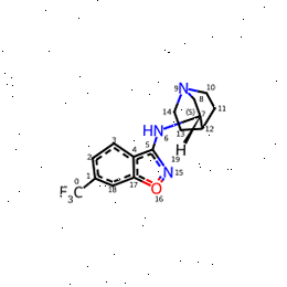 FC(F)(F)c1ccc2c(N[C@@H]3CN4CCC3CC4)noc2c1